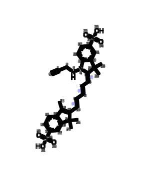 C#CCNN1\C(=C/C=C/C=C/C2=C(C)c3ccc(S(=O)(=O)O)cc3C2(C)C)C(C)(C)c2cc(S(=O)(=O)O)ccc21